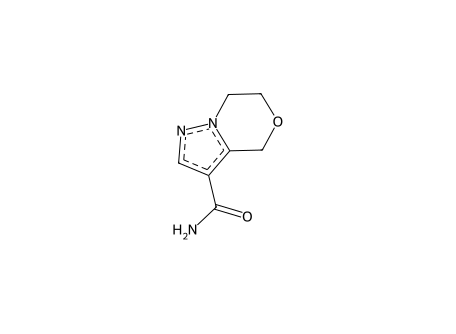 NC(=O)c1cnn2c1COCC2